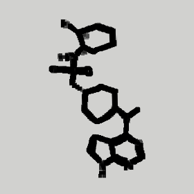 CC[C@H]1CCCC[C@H]1NS(=O)(=O)C[C@H]1CC[C@H](N(C)c2ncnc3[nH]ccc23)CC1